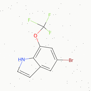 FC(F)(F)Oc1cc(Br)cc2cc[nH]c12